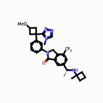 COC1CC(c2cccc(N3Cc4c(cc([C@@H](C)NC5(C)CCC5)cc4C(F)(F)F)C3=O)c2)(c2nncn2C)C1